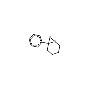 c1ccc(C23CCCCN2O3)cc1